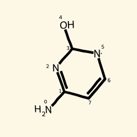 NC1=NC(O)[N]C=C1